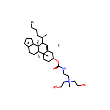 CC(C)CCC[C@@H](C)C1C=C2C[C@@H](OC(=O)NCC[N+](C)(CCO)CCO)CC[C@]2(C)[C@H]2CC[C@@]3(C)CCC[C@H]3[C@H]12.[Br-]